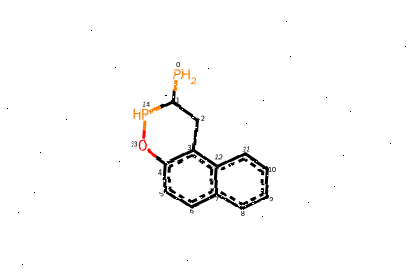 PC1Cc2c(ccc3ccccc23)OP1